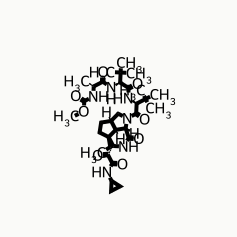 CCC12CC[C@H]3CN(C(=O)[C@@H](NC(=O)[C@@H](NC(=O)[C@@H](C)NC(=O)OC)C(C)(C)C)C(C)(C)C)[C@H](C(=O)N[C@@H]1C(=O)C(=O)NC1CC1)[C@H]32